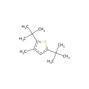 Cc1cc(C(C)(C)C)sc1C(C)(C)C